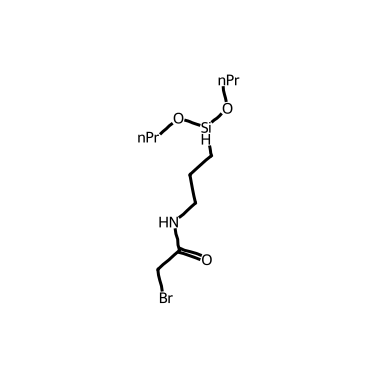 CCCO[SiH](CCCNC(=O)CBr)OCCC